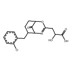 O=C(O)C(O)CC1=NC2C(=O)C(CCC2Cc2ccccc2Cl)O1